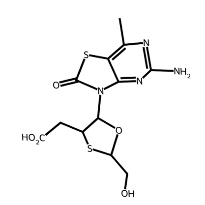 Cc1nc(N)nc2c1sc(=O)n2C1OC(CO)SC1CC(=O)O